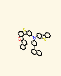 c1ccc2c(-c3ccc(N(c4ccc5c(c4)sc4ccccc45)c4ccc5sc6ccc7oc8c9ccccc9ccc8c7c6c5c4)cc3)cccc2c1